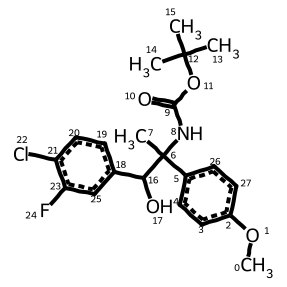 COc1ccc(C(C)(NC(=O)OC(C)(C)C)C(O)c2ccc(Cl)c(F)c2)cc1